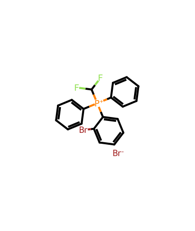 FC(F)[P+](c1ccccc1)(c1ccccc1)c1ccccc1Br.[Br-]